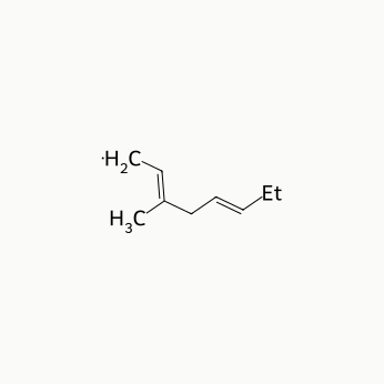 [CH2]C=C(C)CC=CCC